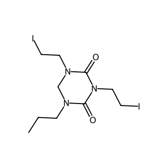 CCCN1CN(CCI)C(=O)N(CCI)C1=O